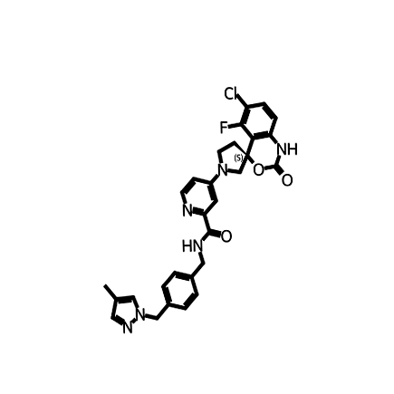 Cc1cnn(Cc2ccc(CNC(=O)c3cc(N4CC[C@]5(C4)OC(=O)Nc4ccc(Cl)c(F)c45)ccn3)cc2)c1